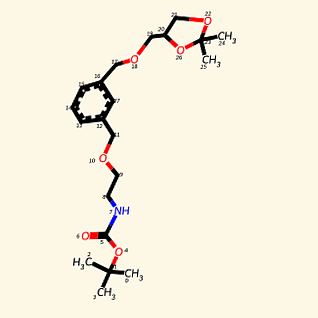 CC(C)(C)OC(=O)NCCOCc1cccc(COCC2COC(C)(C)O2)c1